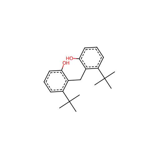 CC(C)(C)c1cccc(O)c1Cc1c(O)cccc1C(C)(C)C